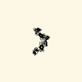 CC(C)(C)OC(=O)NC1CCC(Nc2nccc(-c3cccnc3Oc3c(F)cc(N(c4ccccc4Cl)[SH](=O)=O)cc3Cl)n2)CC1